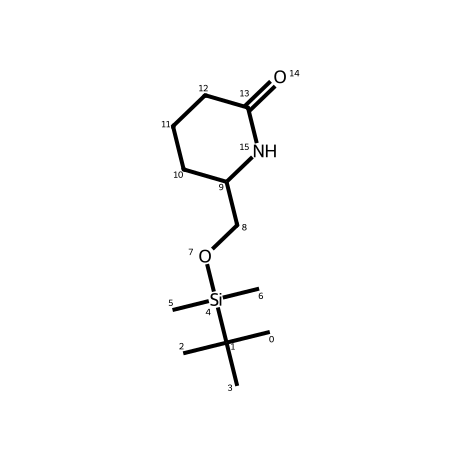 CC(C)(C)[Si](C)(C)OCC1CCCC(=O)N1